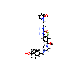 O=C(NCCCN1CCCC1=O)Nc1ccc(C(=O)N2CCN(Cc3ccc(C(O)(C(F)(F)F)C(F)(F)F)cc3)CC2)cc1F